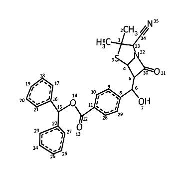 CC1(C)SC2C(C(O)c3ccc(C(=O)OC(c4ccccc4)c4ccccc4)cc3)C(=O)N2C1C#N